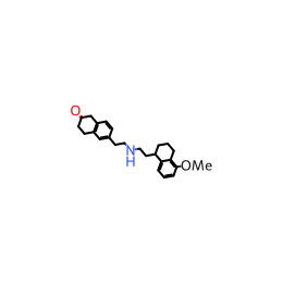 COc1cccc2c1CCCC2CCNCCc1ccc2c(c1)CCC(=O)C2